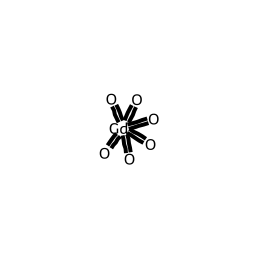 [O]=[Gd](=[O])(=[O])(=[O])(=[O])=[O]